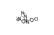 Cc1ccc(-c2ccc3nc(-c4ccc(Cl)cc4)c(CN4CCCN(C)CC4)n3c2)n1C